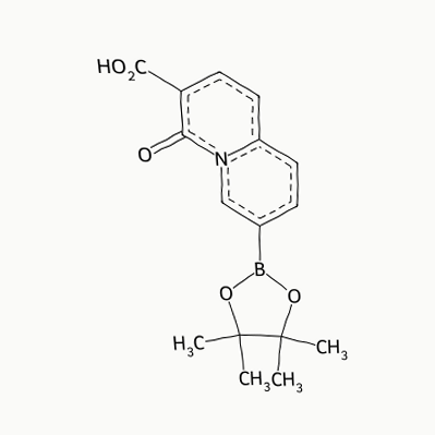 CC1(C)OB(c2ccc3ccc(C(=O)O)c(=O)n3c2)OC1(C)C